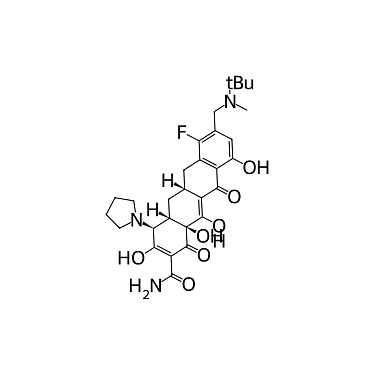 CN(Cc1cc(O)c2c(c1F)C[C@H]1C[C@H]3[C@H](N4CCCC4)C(O)=C(C(N)=O)C(=O)[C@@]3(O)C(O)=C1C2=O)C(C)(C)C